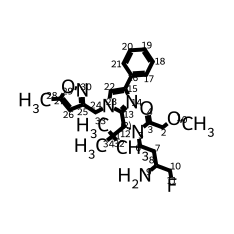 COCC(=O)N(CCC(N)CF)[C@@H](c1nc(-c2ccccc2)cn1Cc1cc(C)on1)C(C)(C)C